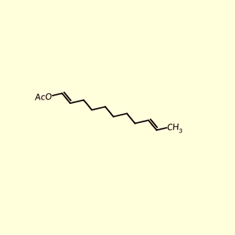 CC=CCCCCCCC=COC(C)=O